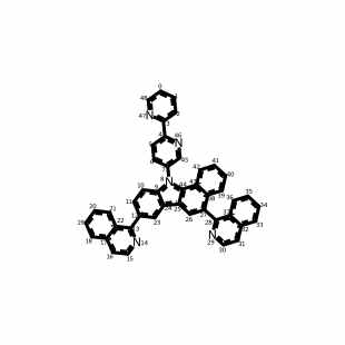 c1ccc(-c2ccc(-n3c4ccc(-c5nccc6ccccc56)cc4c4cc(-c5nccc6ccccc56)c5ccccc5c43)cn2)nc1